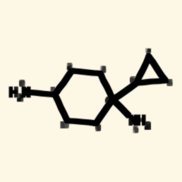 NC1CCC(N)(C2CC2)CC1